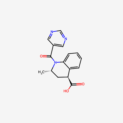 C[C@H]1C[C@H](C(=O)O)c2ccccc2N1C(=O)c1cncnc1